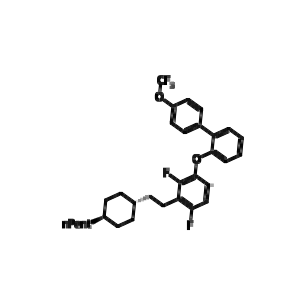 CCCCC[C@H]1CC[C@H](CCc2c(F)c[c]c(Oc3ccccc3-c3ccc(OC(F)(F)F)cc3)c2F)CC1